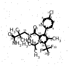 Cc1c(-c2ccc(Cl)cn2)c(C(=O)N(C)CC(C)(C)C(N)=O)n(C(C)C)c1C(F)(F)F